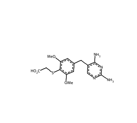 COc1cc(Cc2cnc(N)nc2N)cc(OC)c1SCC(=O)O